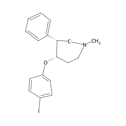 CN1CC[C@H](Oc2ccc(I)cc2)[C@H](c2ccccc2)C1